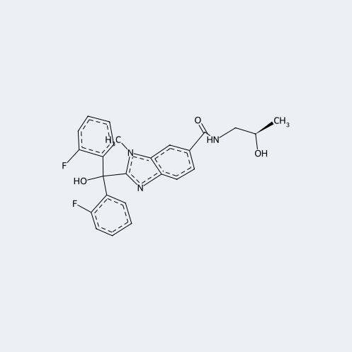 C[C@@H](O)CNC(=O)c1ccc2nc(C(O)(c3ccccc3F)c3ccccc3F)n(C)c2c1